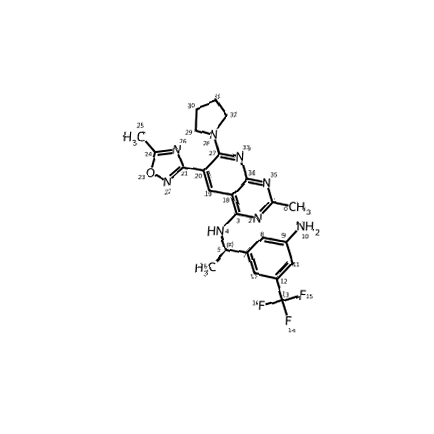 Cc1nc(N[C@H](C)c2cc(N)cc(C(F)(F)F)c2)c2cc(-c3noc(C)n3)c(N3CCCC3)nc2n1